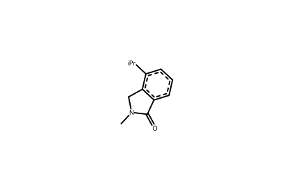 CC(C)c1cccc2c1CN(C)C2=O